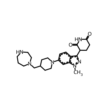 Cn1nc(C2CCC(=O)NC2=O)c2ccc(N3CCC(CN4CCCNCC4)CC3)cc21